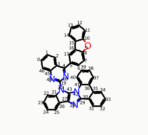 c1ccc2c(-c3ccc4oc5ccccc5c4c3)nc(-n3c4ccccc4c4nc5c6ccccc6c6ccccc6n5c43)nc2c1